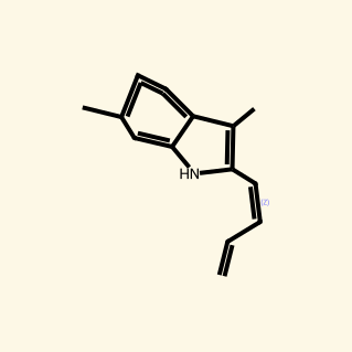 C=C/C=C\c1[nH]c2c(c1C)=C=C=C(C)C=2